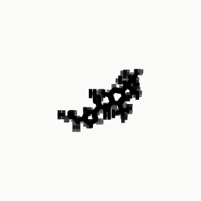 Bc1cc(C(F)(C(F)(F)F)C(F)(F)F)cc(C(F)(F)F)c1NC(=O)c1csc(NC)n1